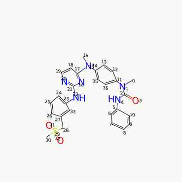 CN(C(=O)Nc1ccccc1)c1ccc(N(C)c2ccnc(Nc3cccc(CS(C)(=O)=O)c3)n2)cc1